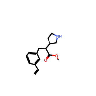 C=Cc1cccc(C[C@H](C(=O)OC)[C@H]2CCNC2)c1